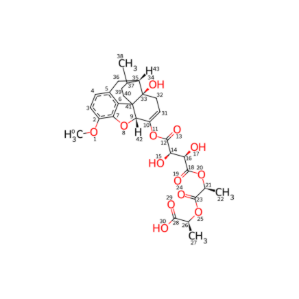 COc1ccc2c3c1O[C@H]1C(OC(=O)[C@H](O)[C@@H](O)C(=O)O[C@@H](C)C(=O)O[C@@H](C)C(=O)O)=CC[C@@]4(O)[C@@H](C2)C(C)CCC314